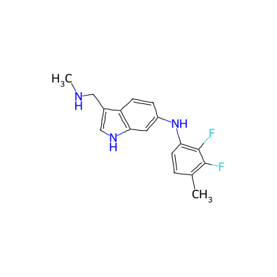 CNCc1c[nH]c2cc(Nc3ccc(C)c(F)c3F)ccc12